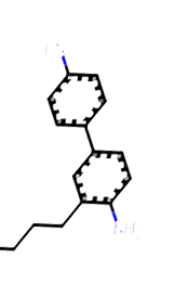 CCCCc1cc(-c2ccc(N)cc2)ccc1N